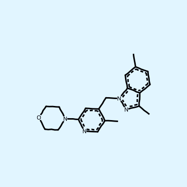 Cc1ccc2c(C)nn(Cc3cc(N4CCOCC4)ncc3C)c2c1